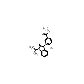 COC(=O)c1ccc[n+](C2C(=O)N(C(C)C)c3ccccc32)c1.[Br-]